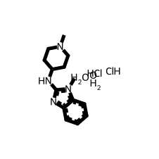 CN1CCC(Nc2nc3ccccc3n2C)CC1.Cl.Cl.O.O